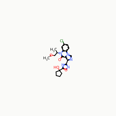 COCC(C)n1c(=O)c2c(-c3noc(C4(O)CCCC4)n3)ncn2c2ccc(Cl)cc21